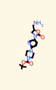 CC(C)(C)OC(=O)N1CCN(c2ccc(N3CC(CN)OC3=O)cn2)CC1